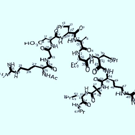 CC[C@H](NC(=O)[C@H](C)NC(=O)[C@H](CC(C)C)NC(=O)[C@H](CC(=O)O)NC(=O)CNC(=O)[C@H](CCCNC(=N)N)NC(C)=O)C(=O)N[C@@H](CC(C)C)C(=O)N[C@@H](CCCNC(N)=O)C(=O)NC(C)(C)C(=O)N[C@@H](CC(C)C)C(=O)NC(C)C